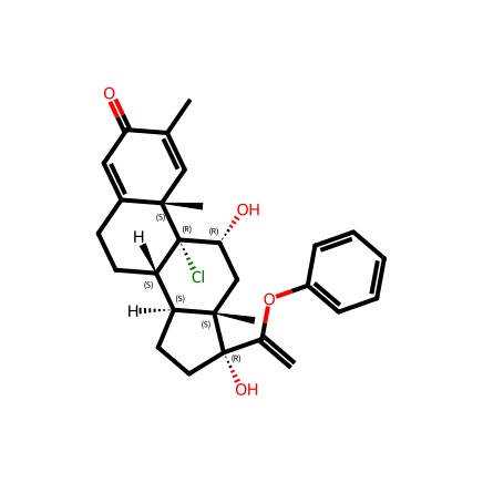 C=C(Oc1ccccc1)[C@@]1(O)CC[C@H]2[C@@H]3CCC4=CC(=O)C(C)=C[C@]4(C)[C@@]3(Cl)[C@H](O)C[C@@]21C